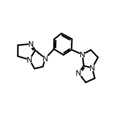 c1cc(N2CCN3CCN=C32)cc(N2CCN3CCN=C32)c1